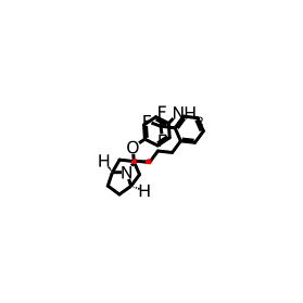 C[C@@]1(Oc2ccc(N)cc2)C[C@H]2CC[C@@H](C1)N2CCCCc1ccccc1C(F)(F)F